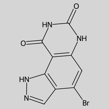 O=c1[nH]c(=O)c2c(cc(Br)c3cn[nH]c32)[nH]1